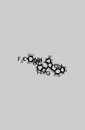 O=C1Nc2ccc(S(=O)(=O)Nc3ccc(C(F)(F)F)cc3)cc2C1C1C(Cc2ccc3ccccc3c2O)=Cc2ccccc21